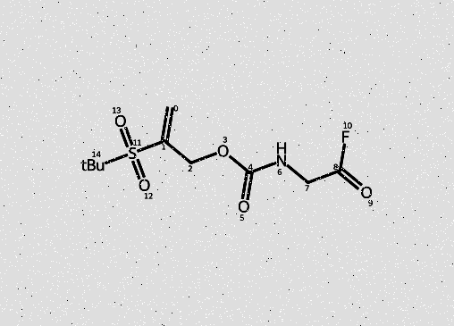 C=C(COC(=O)NCC(=O)F)S(=O)(=O)C(C)(C)C